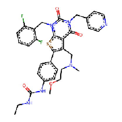 CCNC(=O)Nc1ccc(-c2sc3c(c2CN(C)CCOC)c(=O)n(Cc2ccncc2)c(=O)n3Cc2c(F)cccc2F)cc1